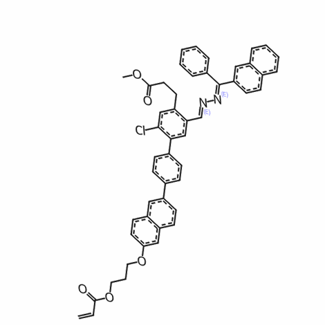 C=CC(=O)OCCCOc1ccc2cc(-c3ccc(-c4cc(/C=N/N=C(\c5ccccc5)c5ccc6ccccc6c5)c(CCC(=O)OC)cc4Cl)cc3)ccc2c1